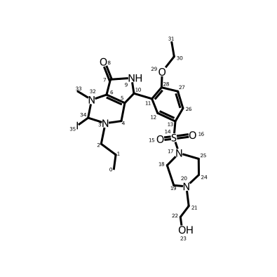 CCCN1CC2=C(C(=O)NC2c2cc(S(=O)(=O)N3CCN(CCO)CC3)ccc2OCC)N(C)C1I